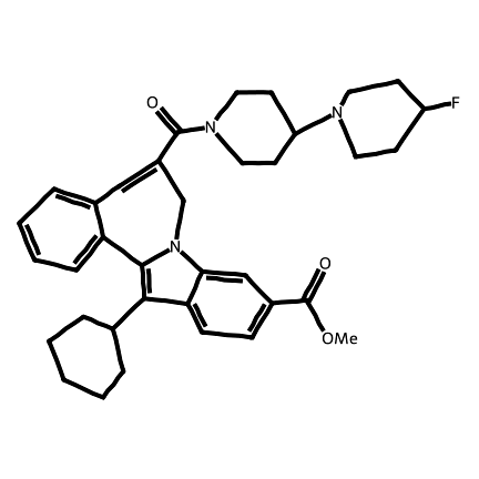 COC(=O)c1ccc2c(C3CCCCC3)c3n(c2c1)CC(C(=O)N1CCC(N2CCC(F)CC2)CC1)=Cc1ccccc1-3